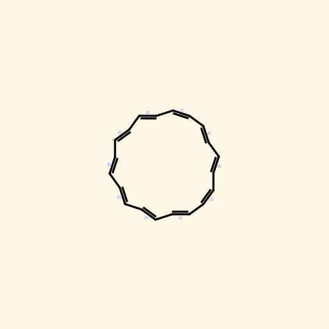 [C]1=C/C=C/C=C\C=C\C=C\C=C/C=C/C=C/C=C/C=C/1